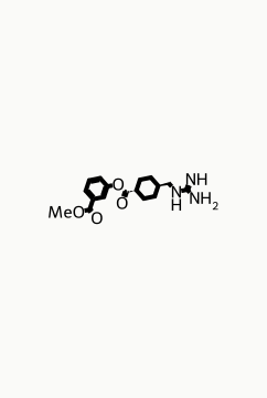 COC(=O)c1cccc(OC(=O)[C@H]2CC[C@H](CNC(=N)N)CC2)c1